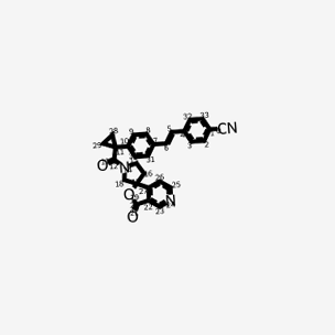 N#Cc1ccc(/C=C/c2ccc(C3(C(=O)N4CCC5(C4)OC(=O)c4cnccc45)CC3)cc2)cc1